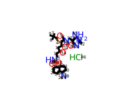 CC(=C(SC(=O)C(C)(C)C)C(=O)CC(=O)CCNS(=O)(=O)c1cccc2c(N(C)C)cccc12)N(C=O)Cc1cnc(C)nc1N.Cl